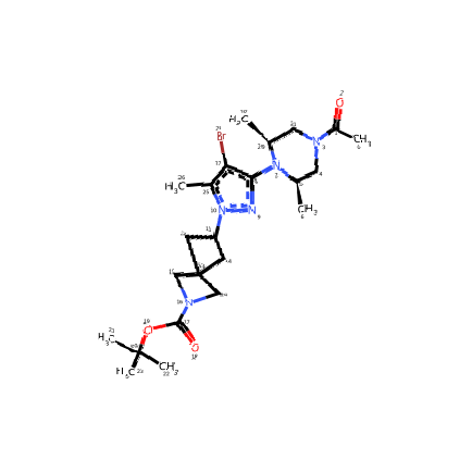 CC(=O)N1C[C@@H](C)N(c2nn(C3CC4(C3)CN(C(=O)OC(C)(C)C)C4)c(C)c2Br)[C@@H](C)C1